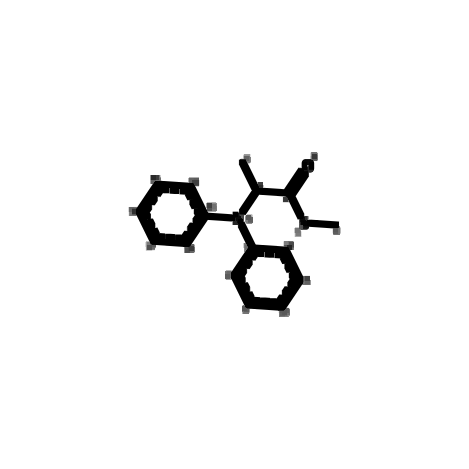 CSC(=O)C(C)N(c1ccccc1)c1ccccc1